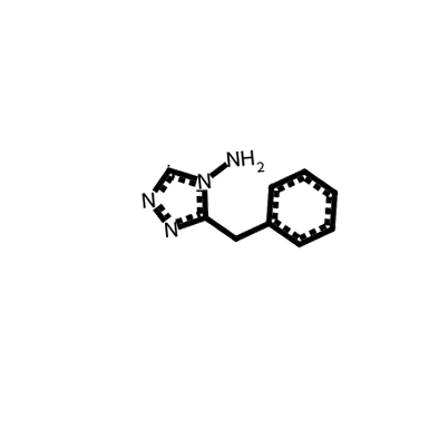 Nn1[c]nnc1Cc1ccccc1